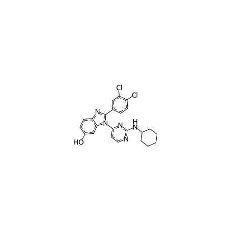 Oc1ccc2nc(-c3ccc(Cl)c(Cl)c3)n(-c3ccnc(NC4CCCCC4)n3)c2c1